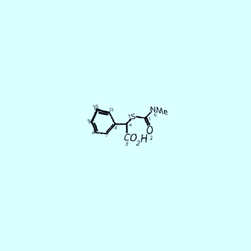 CNC(=O)SC(C(=O)O)c1ccccc1